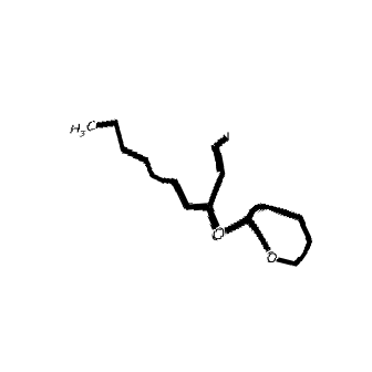 CCCCCCCC(C=CI)OC1CCCCO1